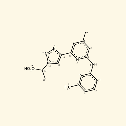 Cc1cc(Nc2cc(C(F)(F)F)ccn2)nc(-c2cn(C(C)C(=O)O)nn2)c1